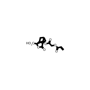 C=CC(=O)OCC(=O)OC1C2CC3C(=O)OC1(C(=O)O)C3C2